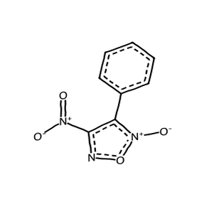 O=[N+]([O-])c1no[n+]([O-])c1-c1ccccc1